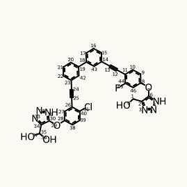 OCc1nn[nH]c1Oc1ccc(C#Cc2cccc(-c3cccc(C#Cc4cc(Oc5[nH]nnc5C(O)O)ccc4Cl)c3)c2)c(F)c1